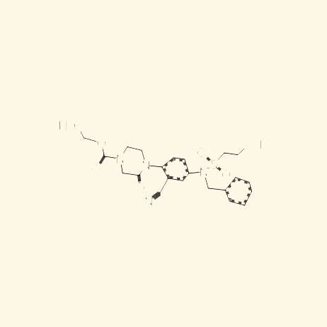 CCCS(=O)(=O)N(Cc1ccccc1)c1ccc(N2CCN(C(=O)OCC)CC2=O)c(C#N)c1